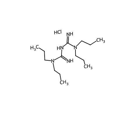 CCCN(CCC)C(=N)NC(=N)N(CCC)CCC.Cl